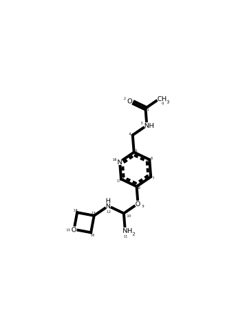 CC(=O)NCc1ccc(OC(N)NC2COC2)cn1